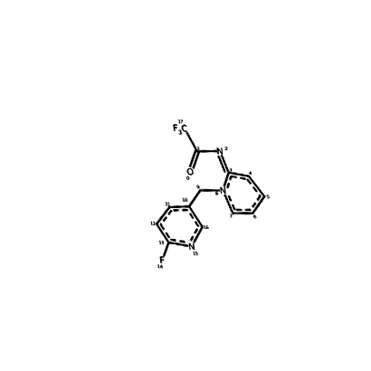 O=C(/N=c1/ccccn1Cc1ccc(F)nc1)C(F)(F)F